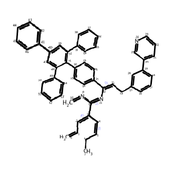 C=C/C=C(\C=C/CC)C(/N=C)=N/C(=C\Cc1cccc(-c2cccnc2)c1)c1ccc(-c2c(-c3ccccc3)cc(-c3ccccc3)cc2-c2ccccc2)cc1